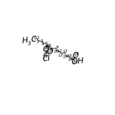 CCCCCC[C@H](CCCCCCCCCCC(=O)O)OC(=O)CCl